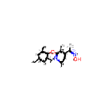 CC/C(=N/O)c1cc(C)nc(Oc2c(C)cc(C)cc2C)c1C